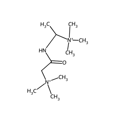 CC(NC(=O)C[N+](C)(C)C)[N+](C)(C)C